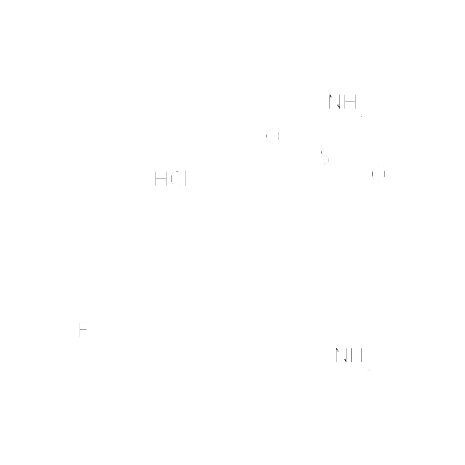 Cl.NCc1ccc(F)cc1CCS(N)(=O)=O